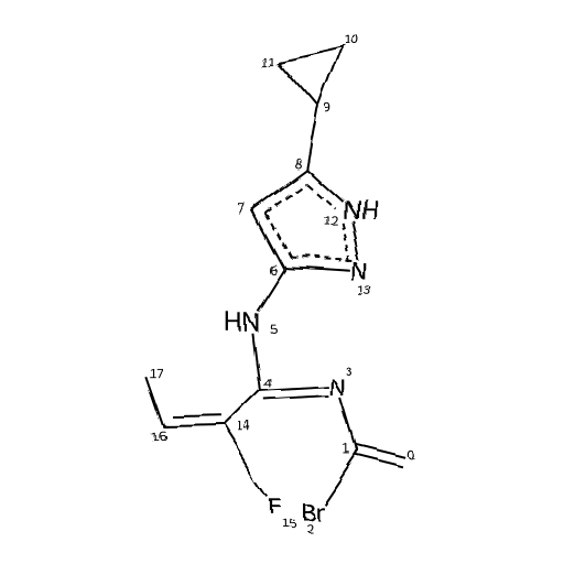 C=C(Br)/N=C(Nc1cc(C2CC2)[nH]n1)\C(F)=C/C